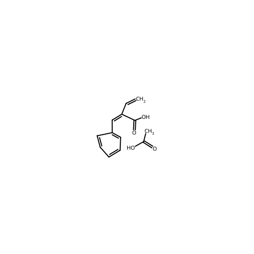 C=CC(=Cc1ccccc1)C(=O)O.CC(=O)O